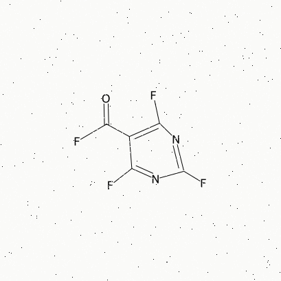 O=C(F)c1c(F)nc(F)nc1F